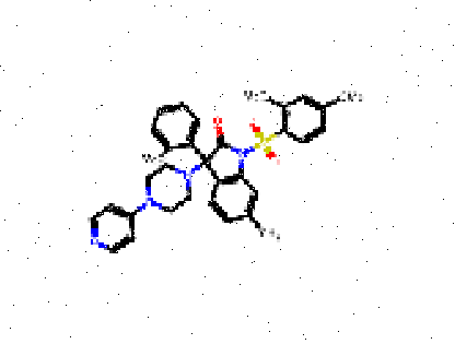 COc1ccc(S(=O)(=O)N2C(=O)C(c3ccccc3OC)(N3CCN(c4ccncc4)CC3)c3ccc(C)cc32)c(OC)c1